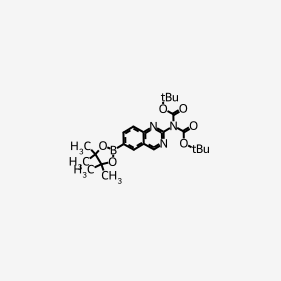 CC(C)(C)OC(=O)N(C(=O)OC(C)(C)C)c1ncc2cc(B3OC(C)(C)C(C)(C)O3)ccc2n1